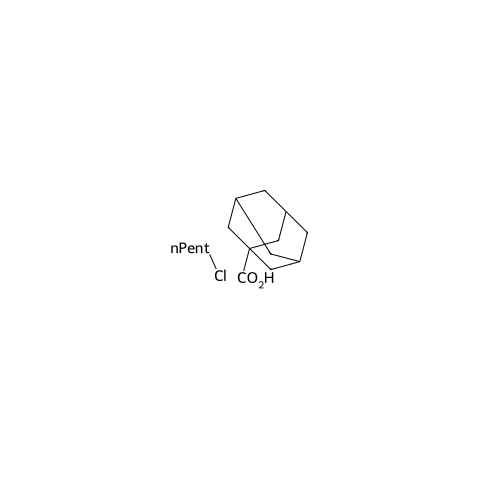 CCCCCCl.O=C(O)C12CC3CC(CC(C3)C1)C2